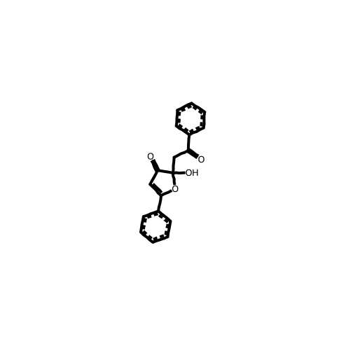 O=C(CC1(O)OC(c2ccccc2)=CC1=O)c1ccccc1